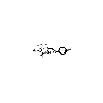 CC(C)(C)OC(=O)NC(COc1ccc(F)cc1)C(=O)O